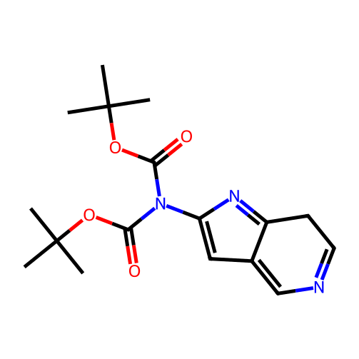 CC(C)(C)OC(=O)N(C(=O)OC(C)(C)C)C1=CC2=CN=CCC2=N1